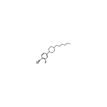 CCCCCCC1CCC(c2ccc(C#N)c(F)c2)CC1